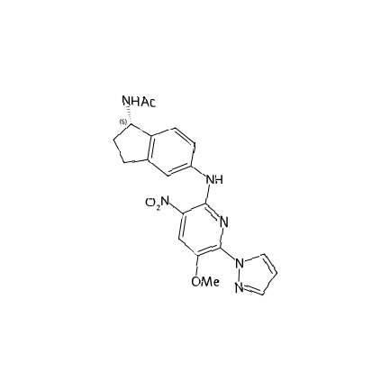 COc1cc([N+](=O)[O-])c(Nc2ccc3c(c2)CC[C@@H]3NC(C)=O)nc1-n1cccn1